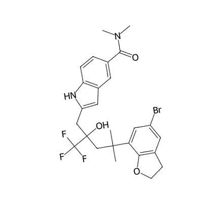 CN(C)C(=O)c1ccc2[nH]c(CC(O)(CC(C)(C)c3cc(Br)cc4c3OCC4)C(F)(F)F)cc2c1